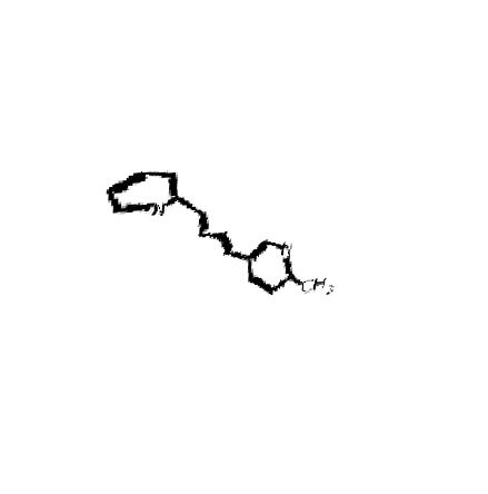 Cc1ccc(C=CC=Cc2ccccn2)cn1